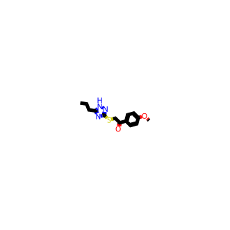 CCCc1nc(SCC(=O)c2ccc(OC)cc2)n[nH]1